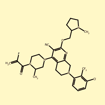 C=C(F)C(=O)N1CCN(c2c(C#N)c(OCC3CCCN3C)nc3c2CCN(c2cccc(Cl)c2C(F)(F)F)C3)CC1C